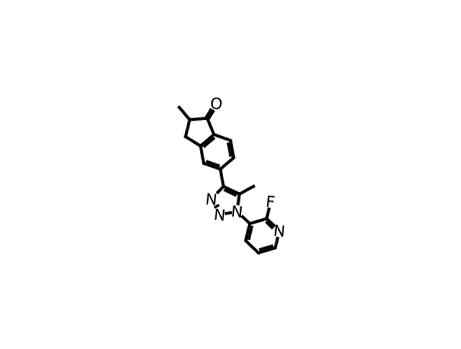 Cc1c(-c2ccc3c(c2)CC(C)C3=O)nnn1-c1cccnc1F